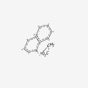 [CH2]C(=O)O.c1ccc2ncccc2c1